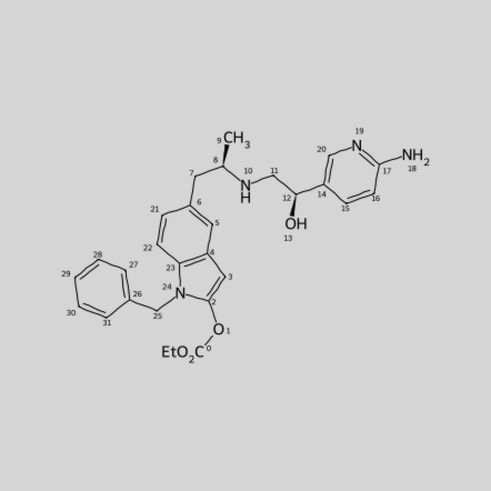 CCOC(=O)Oc1cc2cc(C[C@@H](C)NC[C@H](O)c3ccc(N)nc3)ccc2n1Cc1ccccc1